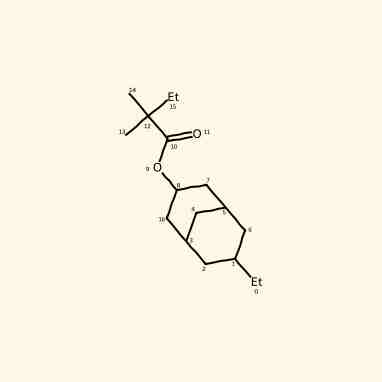 CCC1CC2CC(C1)CC(OC(=O)C(C)(C)CC)C2